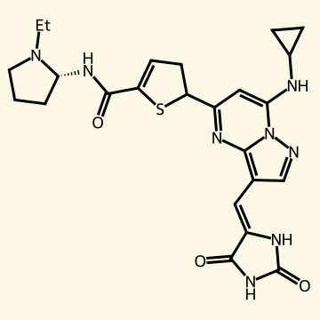 CCN1CCC[C@H]1NC(=O)C1=CCC(c2cc(NC3CC3)n3ncc(/C=C4\NC(=O)NC4=O)c3n2)S1